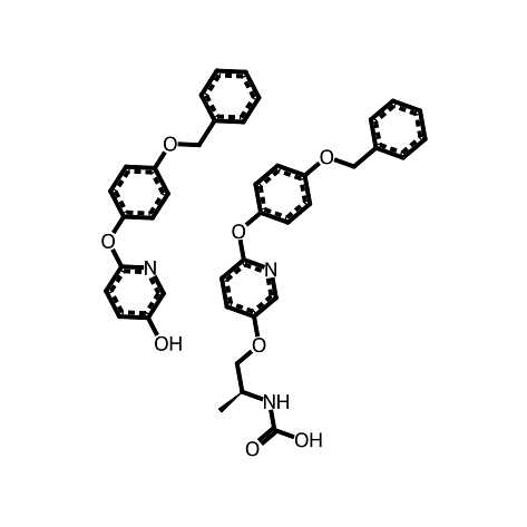 C[C@@H](COc1ccc(Oc2ccc(OCc3ccccc3)cc2)nc1)NC(=O)O.Oc1ccc(Oc2ccc(OCc3ccccc3)cc2)nc1